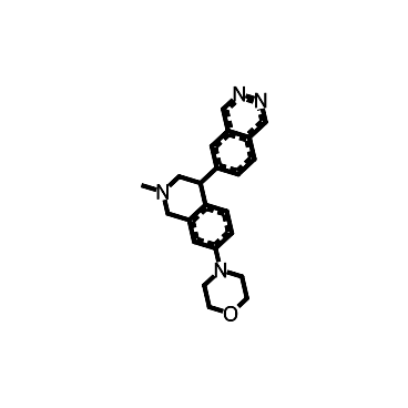 CN1Cc2cc(N3CCOCC3)ccc2C(c2ccc3cnncc3c2)C1